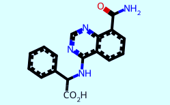 NC(=O)c1cccc2c(NC(C(=O)O)c3ccccc3)ncnc12